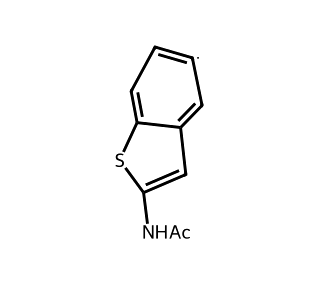 CC(=O)Nc1cc2c[c]ccc2s1